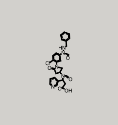 O=CN(NCc1ccccc1)c1ccc(Cl)c(N2CC(N(C=O)C(CC(=O)O)c3cccnc3)CC2=O)c1